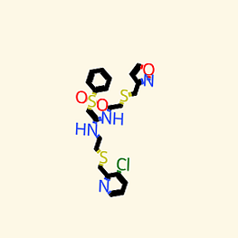 O=S(=O)(/C=C(\NCCSCc1ccon1)NCCSCc1ncccc1Cl)c1ccccc1